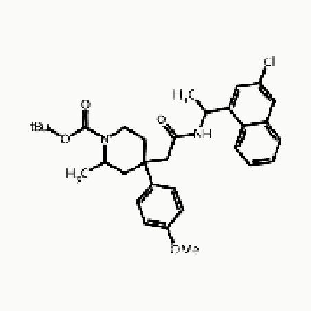 COc1ccc(C2(CC(=O)NC(C)c3cc(Cl)cc4ccccc34)CCN(C(=O)OC(C)(C)C)C(C)C2)cc1